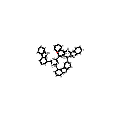 c1ccc(-c2nc(-c3cccc4c3sc3ccccc34)nc(-c3cccc4oc5ccc(-c6nc(-c7ccccc7)nc7c6oc6ccccc67)cc5c34)n2)cc1